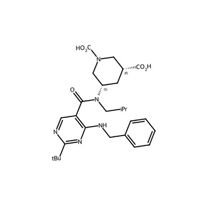 CC(C)CN(C(=O)c1cnc(C(C)(C)C)nc1NCc1ccccc1)[C@H]1C[C@@H](C(=O)O)CN(C(=O)O)C1